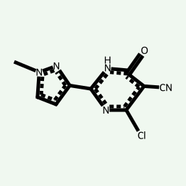 Cn1ccc(-c2nc(Cl)c(C#N)c(=O)[nH]2)n1